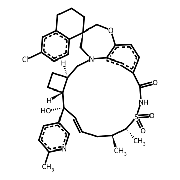 Cc1ccc([C@]2(O)/C=C/C[C@H](C)[C@@H](C)S(=O)(=O)NC(=O)c3ccc4c(c3)N(C[C@@H]3CC[C@H]32)C[C@@]2(CCCc3cc(Cl)ccc32)CO4)cn1